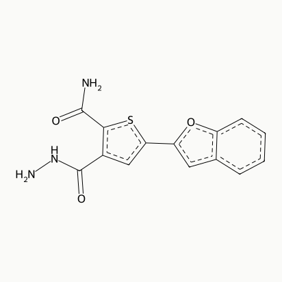 NNC(=O)c1cc(-c2cc3ccccc3o2)sc1C(N)=O